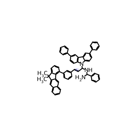 CC1(C)c2cc3ccccc3cc2-c2c(-c3cccc(/C=C/C(NC(N)c4ccccc4)n4c5ccc(-c6ccccc6)cc5c5cc(-c6ccccc6)ccc54)c3)cccc21